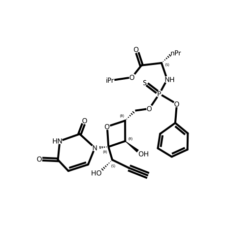 C#C[C@H](O)[C@@]1(n2ccc(=O)[nH]c2=O)O[C@H](COP(=S)(N[C@@H](CCC)C(=O)OC(C)C)Oc2ccccc2)[C@H]1O